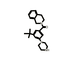 CC(C)(C)c1cc(C(=O)N2CCc3ccccc3C2)cc(N2CCNCC2)c1